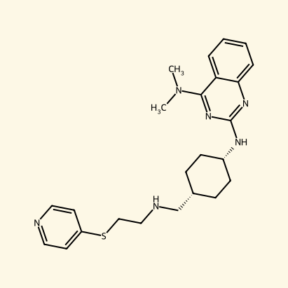 CN(C)c1nc(N[C@H]2CC[C@@H](CNCCSc3ccncc3)CC2)nc2ccccc12